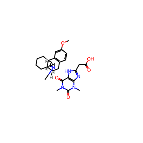 COc1ccc2c(c1)[C@@]13CCCC[C@H]1[C@@H](C2)N(C)CC3.Cn1c(=O)c2[nH]c(CC(=O)O)nc2n(C)c1=O